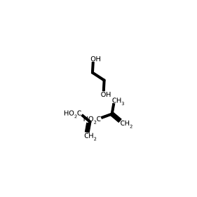 C=C(C)C(=O)O.C=CC(=O)O.OCCO